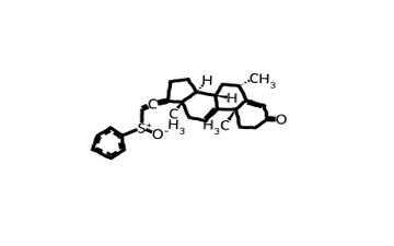 C[C@H]1C[C@@H]2C(=CC[C@]3(C)C(=C=C[S+]([O-])c4ccccc4)CC[C@@H]23)[C@@]2(C)CCC(=O)C=C12